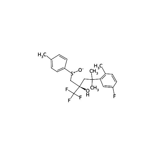 Cc1ccc([S+]([O-])C[C@](O)(CC(C)(C)c2cc(F)ccc2C)C(F)(F)F)cc1